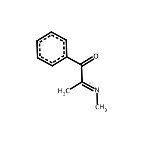 C/N=C(\C)C(=O)c1ccccc1